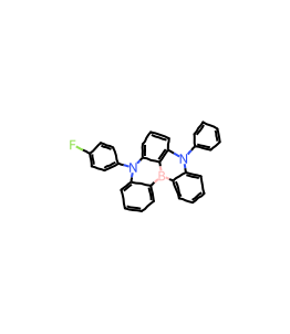 Fc1ccc(N2c3ccccc3B3c4ccccc4N(c4ccccc4)c4cccc2c43)cc1